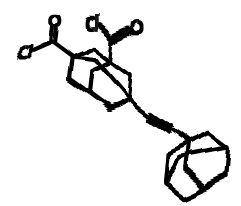 O=C(Cl)C12CC3CC(C#CC45CC6CC(CC(C6)C4)C5)(C1)CC(C(=O)Cl)(C3)C2